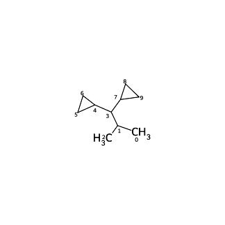 CC(C)C(C1CC1)C1CC1